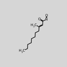 CCCCCCCC/C(C)=C/C(=O)N=O